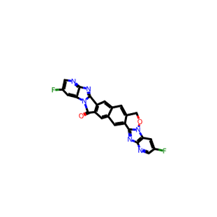 O=C1c2cc3cc4c(cc3cc2-c2nc3ncc(F)cc3n21)COn1c-4nc2ncc(F)cc21